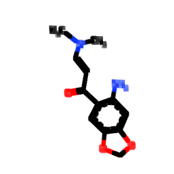 CN(C)/C=C/C(=O)c1cc2c(cc1N)OCO2